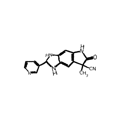 CC1(C#N)C(=O)Nc2cc3c(cc21)NC(c1cccnc1)N3